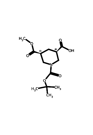 COC(=O)[C@H]1C[C@@H](C(=O)O)CN(C(=O)OC(C)(C)C)C1